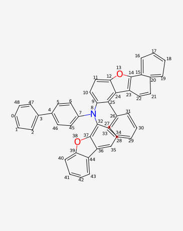 c1ccc(-c2ccc(N(c3ccc4oc5c6ccccc6ccc5c4c3-c3ccccc3)c3cccc4c3oc3ccccc34)cc2)cc1